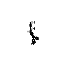 O=C1CCc2cc(-c3cn(-c4ccc(NCCNCCOCCO)cc4)nc3-c3ccncc3)ccc21